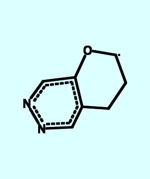 [CH]1CCc2cnncc2O1